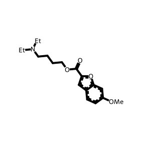 CCN(CC)CCCCOC(=O)c1cc2ccc(OC)cc2o1